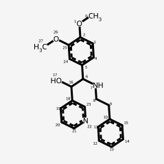 COc1ccc(C(NCCc2ccccc2)C(O)c2cccnc2)cc1OC